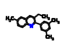 CCc1cc2cc(C)ccc2nc1-c1cc(C)cc(C)c1